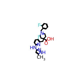 Cc1cc(Nc2ccc(F)c(CC3(C(=O)O)CCN(Cc4ccccc4F)CC3)n2)n[nH]1